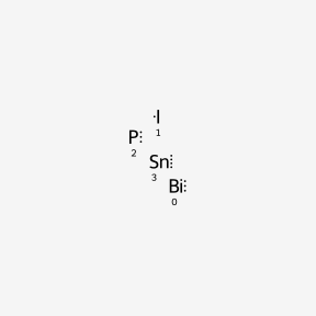 [Bi].[I].[P].[Sn]